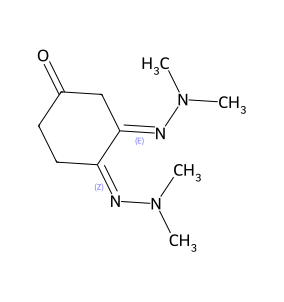 CN(C)/N=C1/CCC(=O)C/C1=N\N(C)C